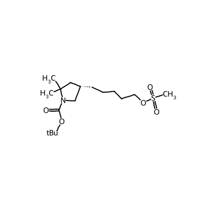 CC(C)(C)OC(=O)N1C[C@@H](CCCCCOS(C)(=O)=O)CC1(C)C